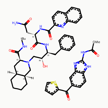 CC(C)(C)NC(=O)[C@@H]1C[C@@H]2CCCC[C@@H]2CN1C[C@@H](O)[C@H](Cc1ccccc1)NC(=O)[C@H](CC(N)=O)NC(=O)c1ccc2ccccc2n1.COC(=O)Nc1nc2cc(C(=O)c3cccs3)ccc2[nH]1